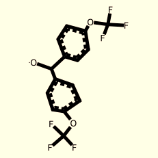 [O]C(c1ccc(OC(F)(F)F)cc1)c1ccc(OC(F)(F)F)cc1